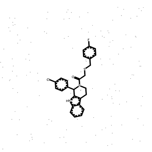 O=C(CSCc1ccc(F)cc1)N1CCc2c([nH]c3ccccc23)C1c1ccc(Cl)cc1